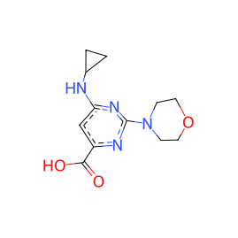 O=C(O)c1cc(NC2CC2)nc(N2CCOCC2)n1